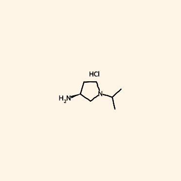 CC(C)N1CC[C@H](N)C1.Cl